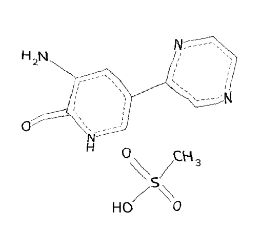 CS(=O)(=O)O.Nc1cc(-c2cnccn2)c[nH]c1=O